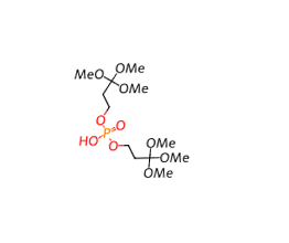 COC(CCOP(=O)(O)OCCC(OC)(OC)OC)(OC)OC